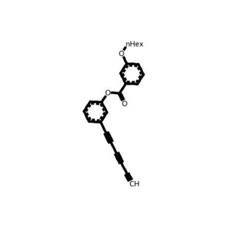 C#CC#CC#Cc1cccc(OC(=O)c2cccc(OCCCCCC)c2)c1